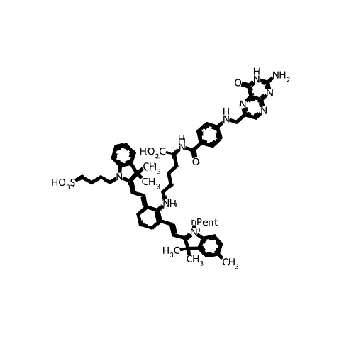 CCCCC[N+]1=C(/C=C/C2=C(NCCCC[C@H](NC(=O)c3ccc(NCc4cnc5nc(N)[nH]c(=O)c5n4)cc3)C(=O)O)C(=C/C=C3/N(CCCCS(=O)(=O)O)c4ccccc4C3(C)C)/CCC2)C(C)(C)c2cc(C)ccc21